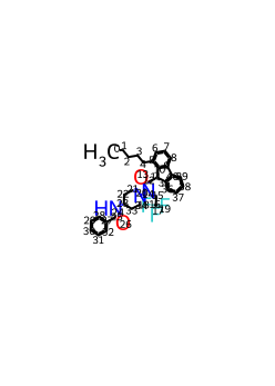 CCCCCc1cccc2c1C(C(=O)N(CC(F)(F)F)N1CCC(NC(=O)c3ccccc3)CC1)c1ccccc1-2